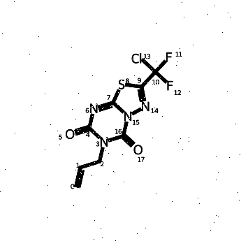 C=CCn1c(=O)nc2sc(C(F)(F)Cl)nn2c1=O